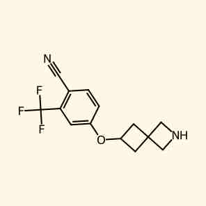 N#Cc1ccc(OC2CC3(CNC3)C2)cc1C(F)(F)F